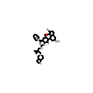 C#Cc1c(F)ccc2c1C(c1c(C(F)(F)F)cc3c(N4CC5CCC(C4)N5)nc(OCC4(CN5CCc6sccc6C5)CC4)nc3c1F)C[C@H](O)C2